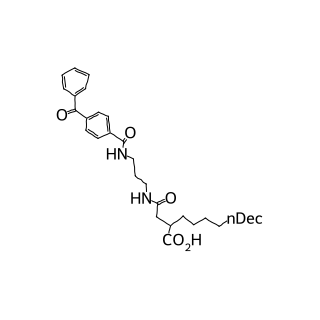 CCCCCCCCCCCCCCC(CC(=O)NCCCNC(=O)c1ccc(C(=O)c2ccccc2)cc1)C(=O)O